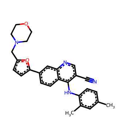 Cc1ccc(Nc2c(C#N)cnc3cc(-c4ccc(CN5CCOCC5)o4)ccc23)c(C)c1